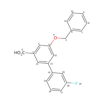 O=C(O)c1cc(OCc2ccccc2)cc(-c2cccc(F)c2)c1